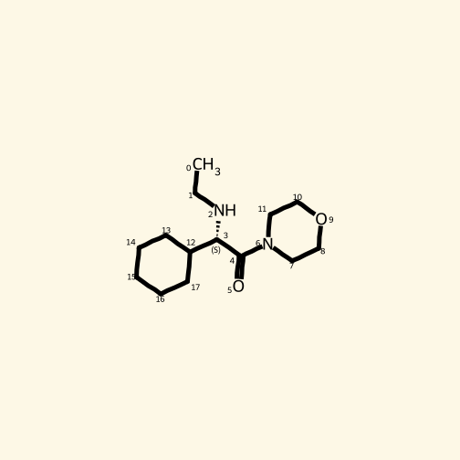 CCN[C@H](C(=O)N1CCOCC1)C1CCCCC1